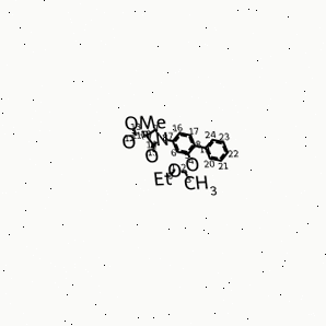 CCOC(C)Oc1cc(N2C[C@@H](C(=O)OC)C2=O)ccc1-c1ccccc1